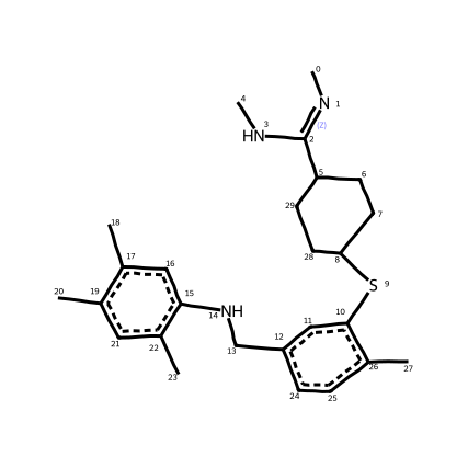 C/N=C(\NC)C1CCC(Sc2cc(CNc3cc(C)c(C)cc3C)ccc2C)CC1